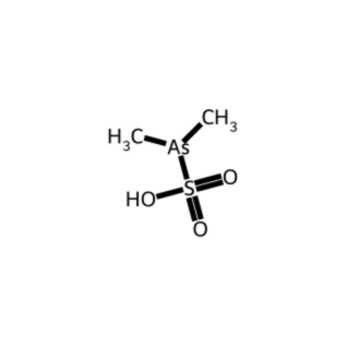 C[As](C)S(=O)(=O)O